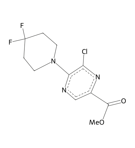 COC(=O)c1cnc(N2CCC(F)(F)CC2)c(Cl)n1